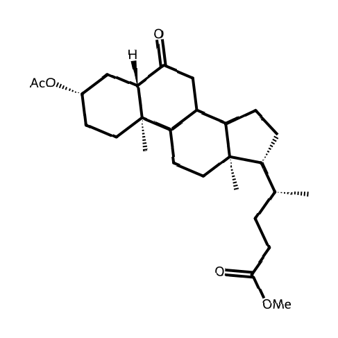 COC(=O)CC[C@@H](C)[C@H]1CCC2C3CC(=O)[C@H]4C[C@@H](OC(C)=O)CC[C@]4(C)C3CC[C@@]21C